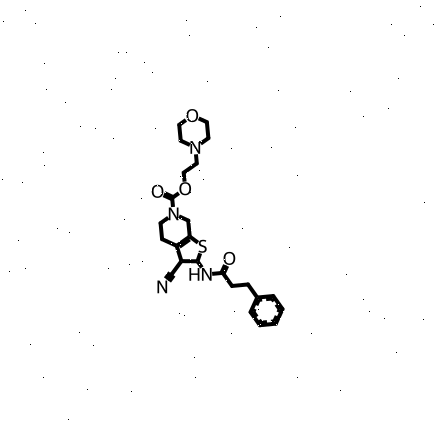 N#CC1C2=C(CN(C(=O)OCCN3CCOCC3)CC2)SC1NC(=O)CCc1ccccc1